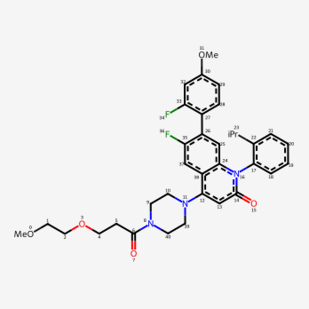 COCCOCCC(=O)N1CCN(c2cc(=O)n(-c3ccccc3C(C)C)c3cc(-c4ccc(OC)cc4F)c(F)cc23)CC1